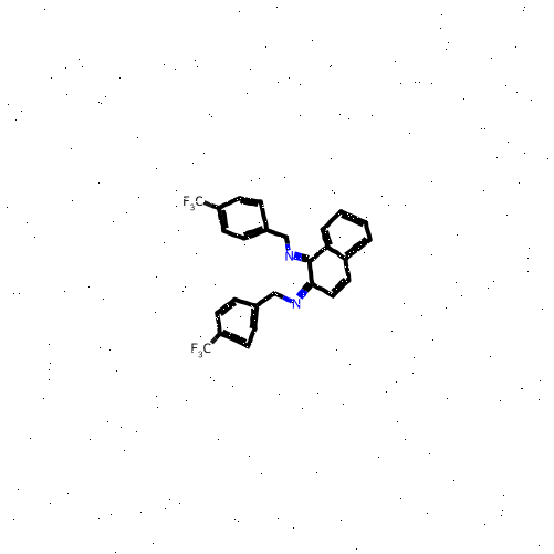 FC(F)(F)c1ccc(CN=C2C=Cc3ccccc3C2=NCc2ccc(C(F)(F)F)cc2)cc1